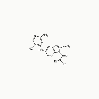 CCN(CC)C(=O)n1c(C)cc2cc(Nc3cc(N)ncc3C#N)ccc21